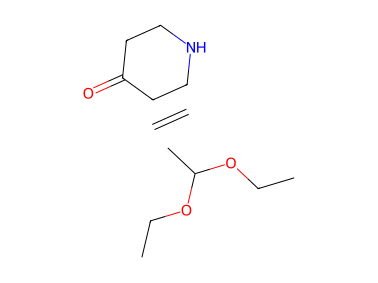 C=C.CCOC(C)OCC.O=C1CCNCC1